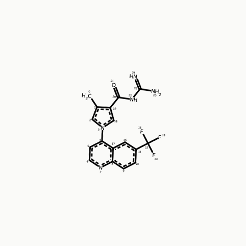 Cc1cn(-c2ccnc3ccc(C(F)(F)F)cc23)cc1C(=O)NC(=N)N